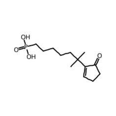 CC(C)(CCCCCP(=O)(O)O)C1=CCCC1=O